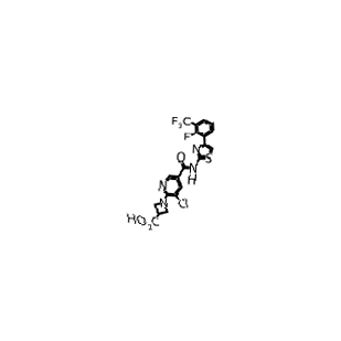 O=C(Nc1nc(-c2cccc(C(F)(F)F)c2F)cs1)c1cnc(N2CC(C(=O)O)C2)c(Cl)c1